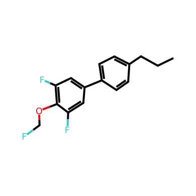 CCCc1ccc(-c2cc(F)c(OCF)c(F)c2)cc1